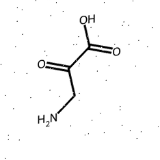 NCC(=O)C(=O)O